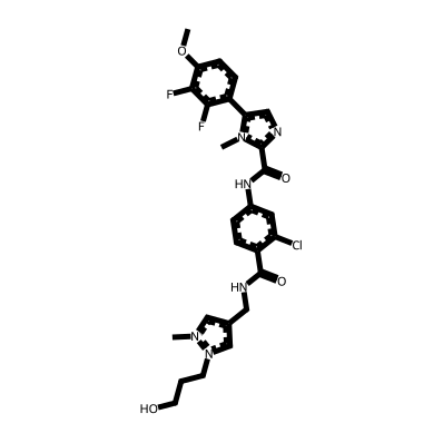 COc1ccc(-c2cnc(C(=O)Nc3ccc(C(=O)NCc4cn(CCCO)[n+](C)c4)c(Cl)c3)n2C)c(F)c1F